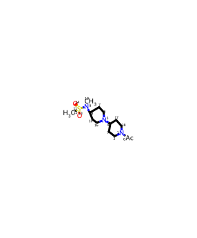 CC(=O)N1CCC(N2CCC(N(C)S(C)(=O)=O)CC2)CC1